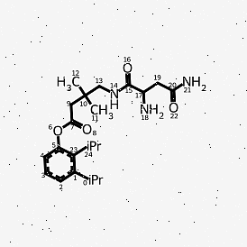 CC(C)c1cccc(OC(=O)CC(C)(C)CNC(=O)C(N)CC(N)=O)c1C(C)C